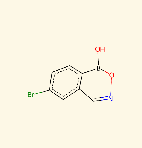 OB1ON=Cc2cc(Br)ccc21